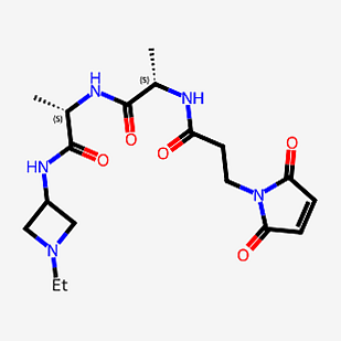 CCN1CC(NC(=O)[C@H](C)NC(=O)[C@H](C)NC(=O)CCN2C(=O)C=CC2=O)C1